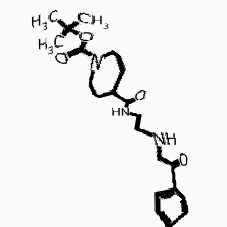 CC(C)(C)OC(=O)N1CCC(C(=O)NCCNCC(=O)c2ccccc2)CC1